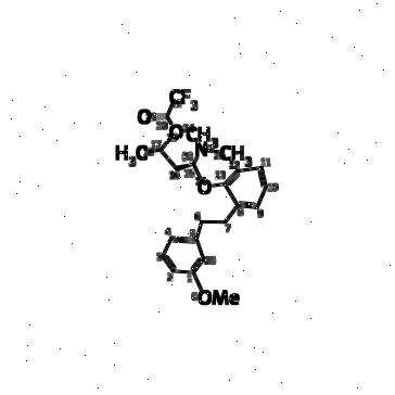 COc1cccc(CCc2ccccc2O[C@@H](CC(C)OC(=O)C(F)(F)F)N(C)C)c1